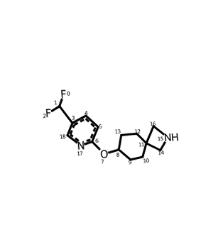 FC(F)c1ccc(OC2CCC3(CC2)CNC3)nc1